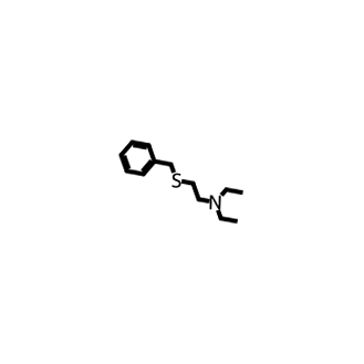 CCN(CC)CCSCc1ccccc1